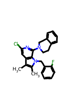 Cc1c(C)n(Cc2ccccc2F)c2c(N3CCc4ccccc4C3)nc(Cl)cc12